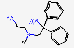 CC(C)N(CCN)CC(N)(c1ccccc1)c1ccccc1